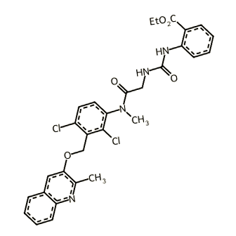 CCOC(=O)c1ccccc1NC(=O)NCC(=O)N(C)c1ccc(Cl)c(COc2cc3ccccc3nc2C)c1Cl